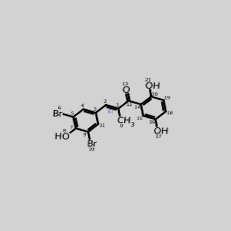 C/C(=C\c1cc(Br)c(O)c(Br)c1)C(=O)c1cc(O)ccc1O